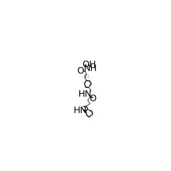 O=C(/C=C/c1ccc(CNC(=O)CCc2c[nH]c3ccccc23)cc1)NO